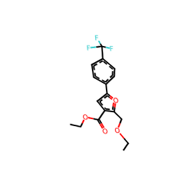 CCOCc1oc(-c2ccc(C(F)(F)F)cc2)cc1C(=O)OCC